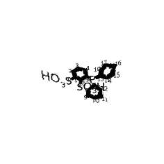 O=S(=O)(O)c1cccc(P(c2ccccc2)c2ccccc2)c1S(=O)(=O)O